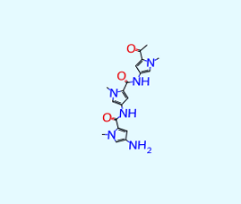 CC(=O)c1cc(NC(=O)c2cc(NC(=O)c3cc(N)cn3C)cn2C)cn1C